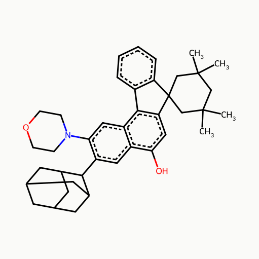 CC1(C)CC(C)(C)CC2(C1)c1ccccc1-c1c2cc(O)c2cc(C3C4CC5CC(C4)CC3C5)c(N3CCOCC3)cc12